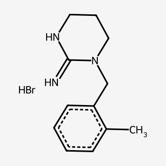 Br.Cc1ccccc1CN1CCCNC1=N